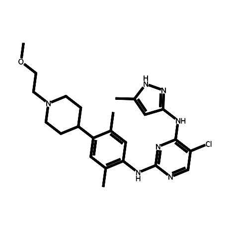 COCCN1CCC(c2cc(C)c(Nc3ncc(Cl)c(Nc4cc(C)[nH]n4)n3)cc2C)CC1